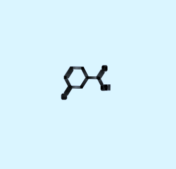 O=C1C=CCC(C(=O)O)C1